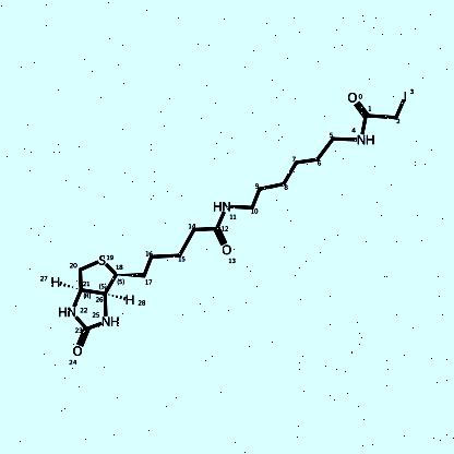 O=C(CI)NCCCCCCNC(=O)CCCC[C@@H]1SC[C@@H]2NC(=O)N[C@@H]21